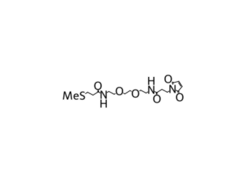 CSCCC(=O)NCCOCCOCCNC(=O)CCN1C(=O)C=CC1=O